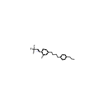 CCCc1ccc(CCCCc2ccc(/C=C/C(F)(F)F)c(F)c2)cc1